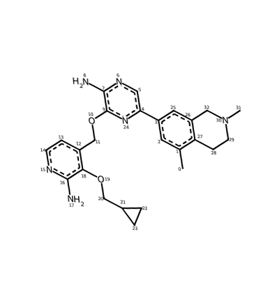 Cc1cc(-c2cnc(N)c(OCc3ccnc(N)c3OCC3CC3)n2)cc2c1CCN(C)C2